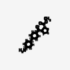 COC(=O)[C@@H]1CCC[C@H]1C(=O)c1ccc(-c2ccc(N)cc2)cc1